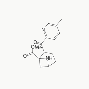 COC(=O)C12CC(CCC1C(=O)c1ccc(C)cn1)N2